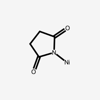 O=C1CCC(=O)[N]1[Ni]